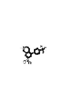 O=[N+]([O-])c1cc2c(c(-c3ccc(C(F)(F)F)cc3)c1)CCNC2